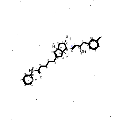 Cc1cccc(C[C@@H](O)/C=C/[C@@H]2[C@H]3CC(CCCCC(=O)Nc4ccccn4)=C[C@H]3C[C@H]2O)c1